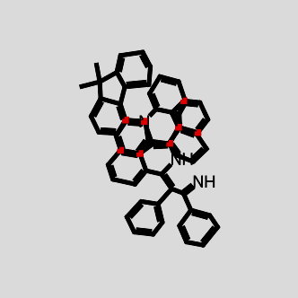 CC1(C)c2ccccc2-c2c(N(C3=C(c4ccccc4)N/C(=C(\C(=N)c4ccccc4)c4ccccc4)c4ccccc43)c3ccccc3-c3ccccc3-c3ccccc3)cccc21